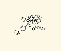 COC(=O)C(C(OCc1ccc(C(F)(F)F)cc1)=[N+](S(=O)(=O)C(F)(F)F)S(=O)(=O)C(F)(F)F)n1cc[n+](C)c1